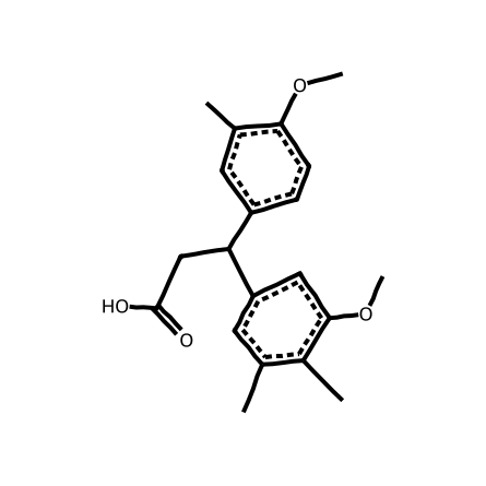 COc1ccc(C(CC(=O)O)c2cc(C)c(C)c(OC)c2)cc1C